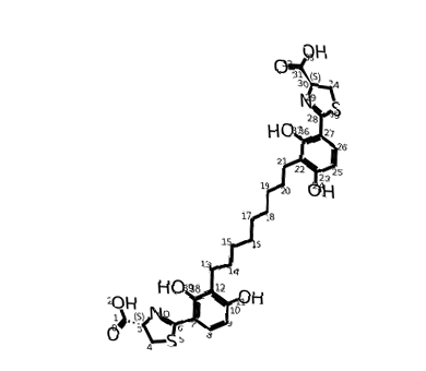 O=C(O)[C@H]1CSC(c2ccc(O)c(CCCCCCCCCc3c(O)ccc(C4=N[C@@H](C(=O)O)CS4)c3O)c2O)=N1